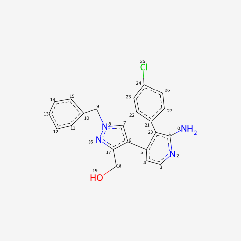 Nc1nccc(-c2cn(Cc3ccccc3)nc2CO)c1-c1ccc(Cl)cc1